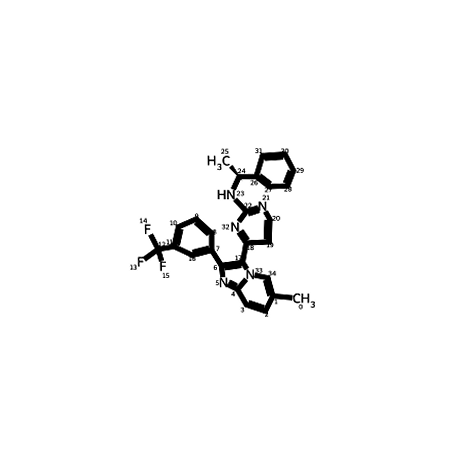 Cc1ccc2nc(-c3cccc(C(F)(F)F)c3)c(-c3ccnc(N[C@@H](C)c4ccccc4)n3)n2c1